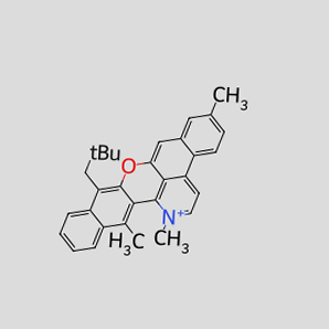 Cc1ccc2c(c1)cc1c3c([n+](C)ccc32)-c2c(c(CC(C)(C)C)c3ccccc3c2C)O1